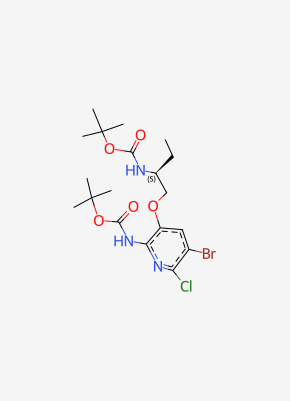 CC[C@@H](COc1cc(Br)c(Cl)nc1NC(=O)OC(C)(C)C)NC(=O)OC(C)(C)C